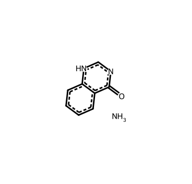 N.O=c1nc[nH]c2ccccc12